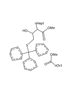 CCCCCCCC(C(=O)OC)C(O)CSC(c1ccccc1)(c1ccccc1)c1ccccc1.CCCCCCCCC(=O)OC